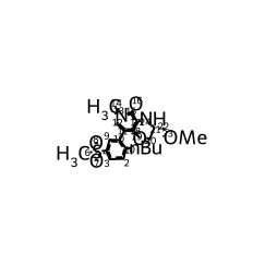 CCCCc1ccc(S(C)(=O)=O)cc1-c1cn(C)c(=O)c2c1OC[C@@H](COC)N2